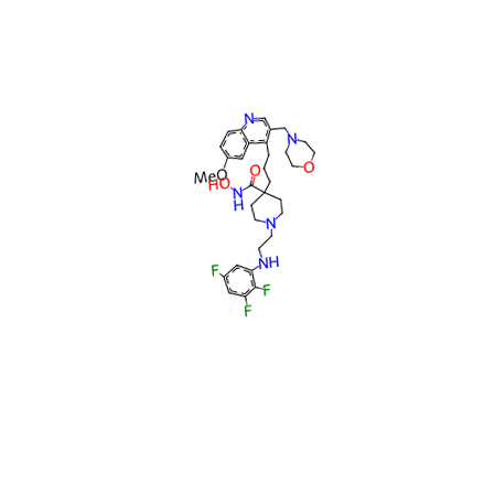 COc1ccc2ncc(CN3CCOCC3)c(CCCC3(C(=O)NO)CCN(CCNc4cc(F)cc(F)c4F)CC3)c2c1